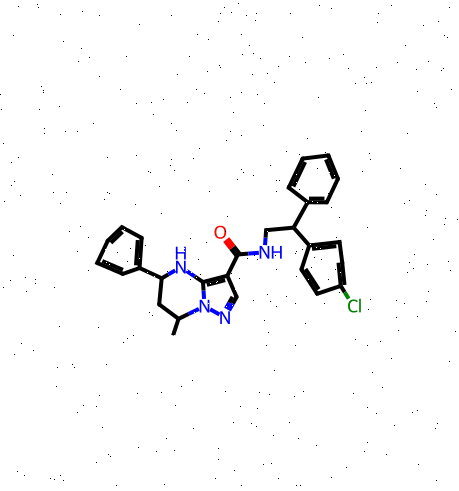 CC1CC(c2ccccc2)Nc2c(C(=O)NCC(c3ccccc3)c3ccc(Cl)cc3)cnn21